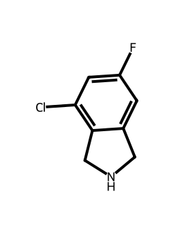 Fc1cc(Cl)c2c(c1)CNC2